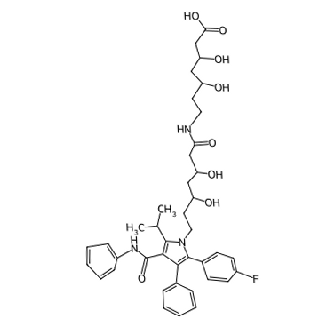 CC(C)c1c(C(=O)Nc2ccccc2)c(-c2ccccc2)c(-c2ccc(F)cc2)n1CCC(O)CC(O)CC(=O)NCCC(O)CC(O)CC(=O)O